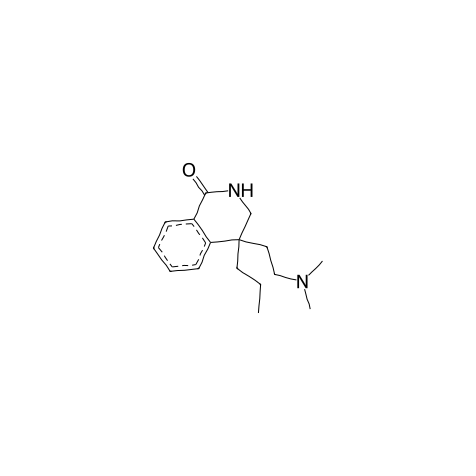 CCCC1(CCN(C)C)CNC(=O)c2ccccc21